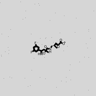 COC(=O)C1=C[C@@H](CNC(=O)C(C)(O)CC(=N)c2cc(F)cc(F)c2)CO1